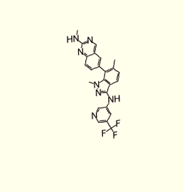 CNc1ncc2cc(-c3c(C)ccc4c(Nc5cncc(C(F)(F)F)c5)nn(C)c34)ccc2n1